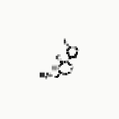 NC[C@@H]1CCS[C@H](c2cccc(I)c2)C(=O)N1